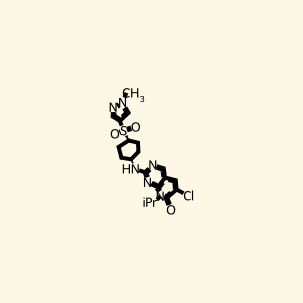 CC(C)n1c(=O)c(Cl)cc2cnc(N[C@H]3CC[C@H](S(=O)(=O)c4cnn(C)c4)CC3)nc21